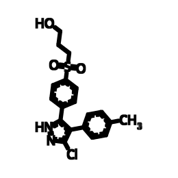 Cc1ccc(-c2c(Cl)n[nH]c2-c2ccc(S(=O)(=O)CCCO)cc2)cc1